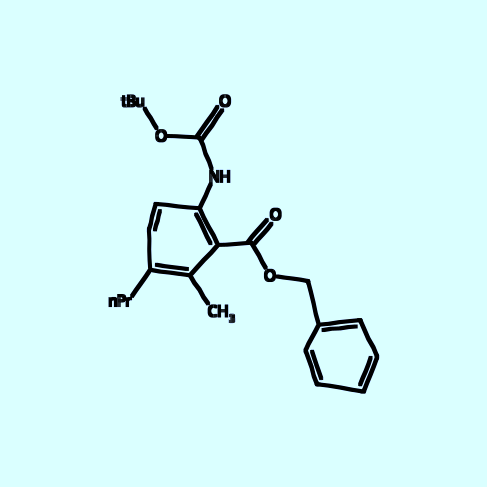 CCCc1ccc(NC(=O)OC(C)(C)C)c(C(=O)OCc2ccccc2)c1C